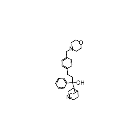 OC(CCc1ccc(CN2CCOCC2)cc1)(c1ccccc1)C1CN2CCC1CC2